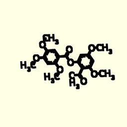 COc1cc(OC)c(C(C)=O)c(OC(=O)c2cc(OC)c(OC)cc2OC)c1